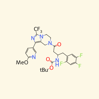 COc1ccc(-c2nc(C(F)(F)F)n3c2CN(C(=O)CC(Cc2cc(F)c(F)cc2F)NC(=O)OC(C)(C)C)CC3)cn1